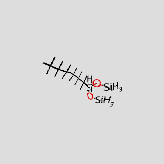 CC(C)(C)C(C)(C)C(C)(C)C(C)(C)C(C)(C)C(C)(C)[SiH](O[SiH3])O[SiH3]